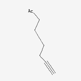 C#CCCCCC(C)=O